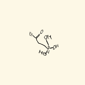 CCC(=O)C[PH](O)(O)O